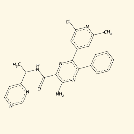 Cc1cc(-c2nc(C(=O)NC(C)c3ccncn3)c(N)nc2-c2ccccc2)cc(Cl)n1